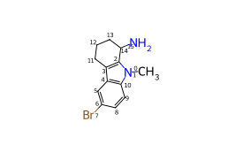 Cn1c2c(c3cc(Br)ccc31)CCCC2N